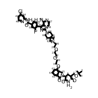 CC(C)(C)OCC(C=O)CC(C(N)=O)N1Cc2c(OCCOCCOCCN3CC4(CCN(c5nc(-c6ccc(C(=O)Nc7cc(Cl)ccn7)cc6F)c6c(N)nccn56)CC4)C3)cccc2C1=O